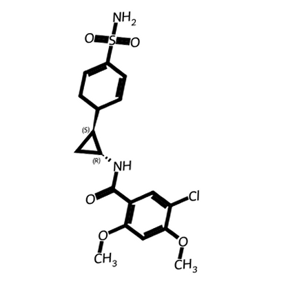 COc1cc(OC)c(C(=O)N[C@@H]2C[C@H]2C2C=CC(S(N)(=O)=O)=CC2)cc1Cl